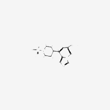 CS(=O)(=O)N1CCC(c2cc(C(F)(F)F)cn3cncc23)CC1